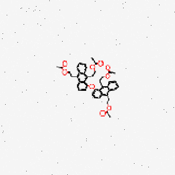 CC(=O)OCCc1c2ccccc2c(CCOC(C)=O)c2c(Oc3cccc4c(CCOC(C)=O)c5ccccc5c(CCOC(C)=O)c34)cccc12